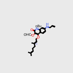 C=CCNc1ccc2c(OC/C=C(\C)CCC=C(C)C)c(OC=O)c(=O)n(CCCC)c2c1